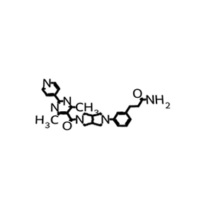 Cc1nc(-c2ccncc2)nc(C)c1C(=O)N1CC2CN(c3cccc(CCC(N)=O)c3)CC2C1